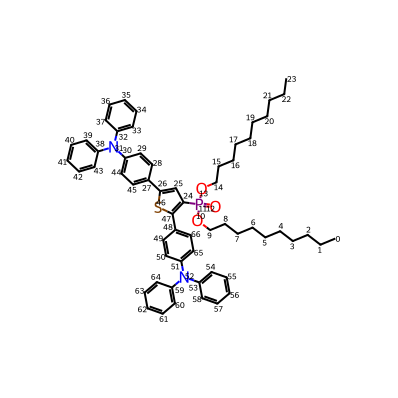 CCCCCCCCCCOP(=O)(OCCCCCCCCCC)c1cc(-c2ccc(N(c3ccccc3)c3ccccc3)cc2)sc1-c1ccc(N(c2ccccc2)c2ccccc2)cc1